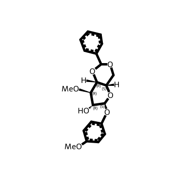 COc1ccc(O[C@@H]2O[C@H]3COC(c4ccccc4)O[C@H]3[C@H](OC)[C@H]2O)cc1